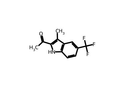 CC(=O)c1[nH]c2ccc(C(F)(F)F)cc2c1C